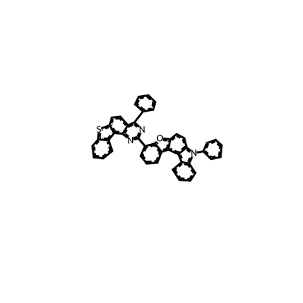 c1ccc(-c2nc(-c3cccc4c3oc3ccc5c(c6ccccc6n5-c5ccccc5)c34)nc3c2ccc2sc4ccccc4c23)cc1